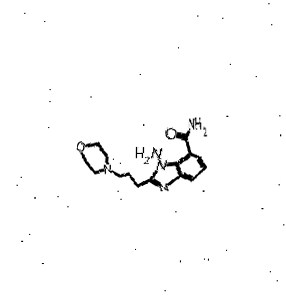 NC(=O)c1cccc2nc(CCCN3CCOCC3)n(N)c12